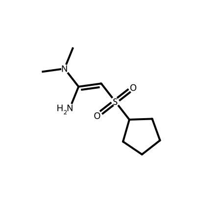 CN(C)/C(N)=C/S(=O)(=O)C1CCCC1